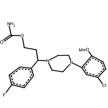 COc1ccc(Cl)cc1N1CCN(C(CCOC(N)=O)c2ccc(F)cc2)CC1